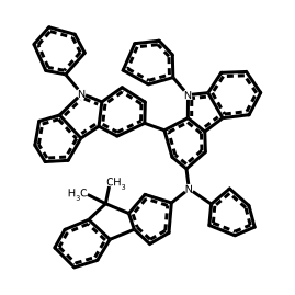 CC1(C)c2ccccc2-c2ccc(N(c3ccccc3)c3cc(-c4ccc5c(c4)c4ccccc4n5-c4ccccc4)c4c(c3)c3ccccc3n4-c3ccccc3)cc21